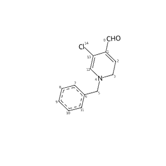 O=CC1=CCN(Cc2ccccc2)C=C1Cl